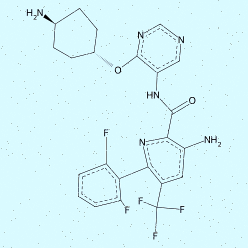 Nc1cc(C(F)(F)F)c(-c2c(F)cccc2F)nc1C(=O)Nc1cncnc1O[C@H]1CC[C@H](N)CC1